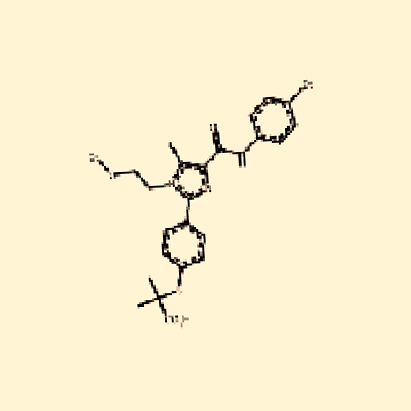 CCOCCn1c(-c2ccc(SC(C)(C)C(=O)O)cc2)nc(C(=O)Nc2ccc(CC)cc2)c1C